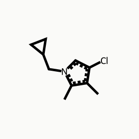 Cc1c(Cl)cn(CC2CC2)c1C